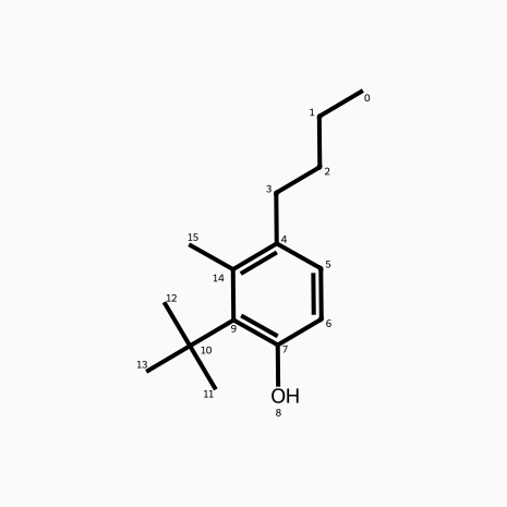 CCCCc1ccc(O)c(C(C)(C)C)c1C